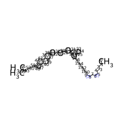 CCCCC/C=C\C/C=C\CCCCCCCCOCC(CC1C=CC=C1)OCCOCCO[C@H]1CCC2C(=CCC3C2CCC2C3CC[C@@H]2CCCCC(C)C)C1